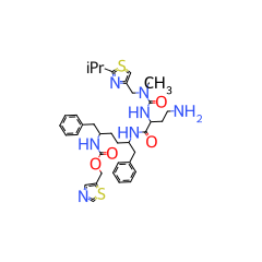 CC(C)c1nc(CN(C)C(=O)NC(CCN)C(=O)NC(CCC(Cc2ccccc2)NC(=O)OCc2cncs2)Cc2ccccc2)cs1